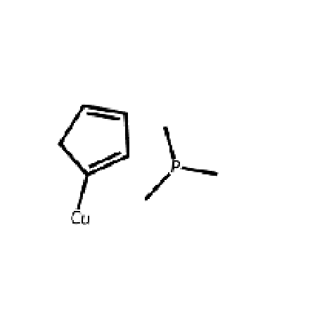 CP(C)C.[Cu][C]1=CC=CC1